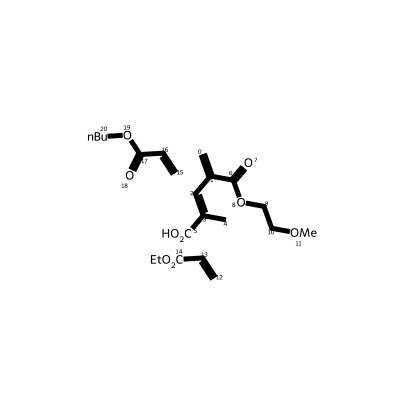 C=C(C=C(C)C(=O)O)C(=O)OCCOC.C=CC(=O)OCC.C=CC(=O)OCCCC